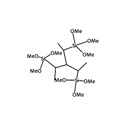 CO[Si](OC)(OC)C(C)C(C(C)[Si](OC)(OC)OC)C(C)[Si](OC)(OC)OC